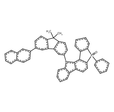 CC1(C)c2ccc(-c3ccc4ccccc4c3)cc2-c2cc(-n3c4ccccc4c4ccc5c(c43)-c3ccccc3P5(=O)c3ccccc3)ccc21